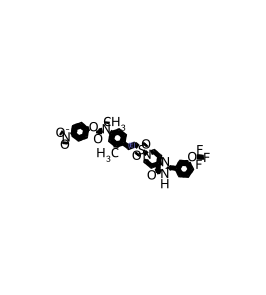 Cc1cc(N(C)C(=O)Oc2ccc([N+](=O)[O-])cc2)ccc1/C=C/S(=O)(=O)N1CCC2(CC1)N=C(c1cccc(OC(F)(F)F)c1)NC2=O